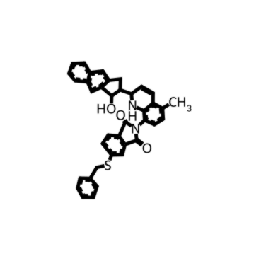 Cc1ccc(N2C(=O)c3ccc(SCc4ccccc4)cc3C2=O)c2c1C=CC(C1Cc3cc4ccccc4cc3C1O)N2